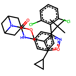 CC(C)(C)c1cccc(NC(=O)N2C3CC(OCc4c(-c5c(Cl)cccc5Cl)noc4C4CC4)CC2C3)c1